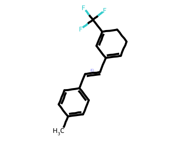 Cc1ccc(/C=C/C2=CCCC(C(F)(F)F)=C2)cc1